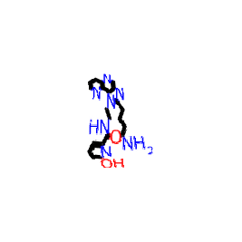 NCCCCc1nc2cnc3cccnc3c2n1CCNC(=O)c1cccc(O)n1